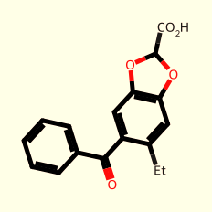 CCc1cc2c(cc1C(=O)c1ccccc1)OC(C(=O)O)O2